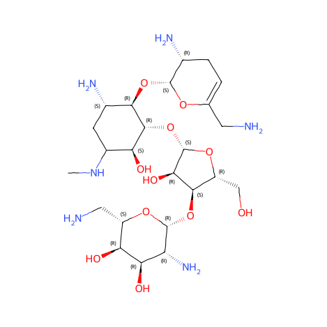 CNC1C[C@H](N)[C@@H](O[C@H]2OC(CN)=CC[C@H]2N)[C@H](O[C@@H]2O[C@H](CO)[C@@H](O[C@H]3O[C@@H](CN)[C@H](O)[C@H](O)[C@H]3N)[C@H]2O)[C@H]1O